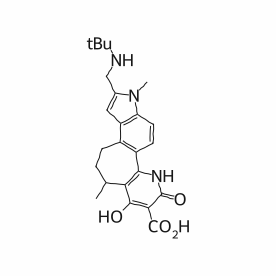 CC1CCc2c(ccc3c2cc(CNC(C)(C)C)n3C)-c2[nH]c(=O)c(C(=O)O)c(O)c21